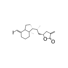 C=C1C[C@H](C[C@@H](C)[C@H]2CCC3/C(=C/I)CCC[C@@]32C)OC1=O